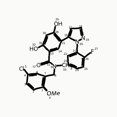 COc1ccc(Cl)cc1CN(C)C(=O)c1cc(-c2ccnn2-c2ccccc2F)c(O)cc1O